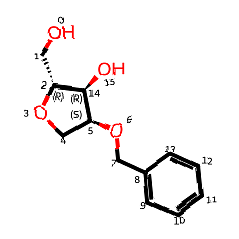 OC[C@H]1OC[C@H](OCc2ccccc2)[C@@H]1O